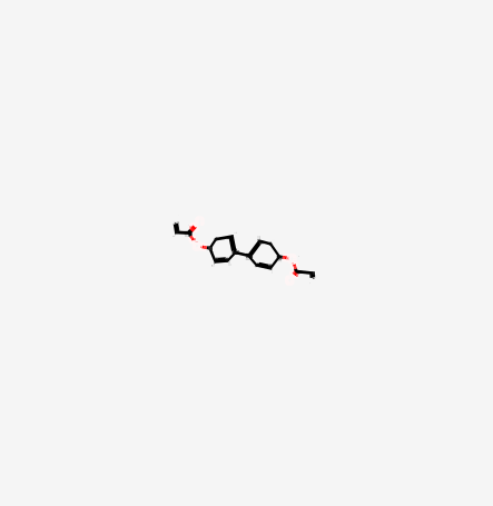 C=CC(=O)OC1C=CC(C2=CCC(OC(=O)C=C)C=C2)=CC1